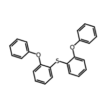 c1ccc(Oc2ccccc2Sc2ccccc2Oc2ccccc2)cc1